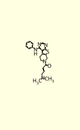 CN(C)C/C=C/C(=O)N1CCc2c(sc3ncnc(Nc4ccccc4)c23)C1